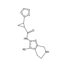 N#Cc1c(NC(=O)C2CC2c2cccs2)sc2c1CCNC2